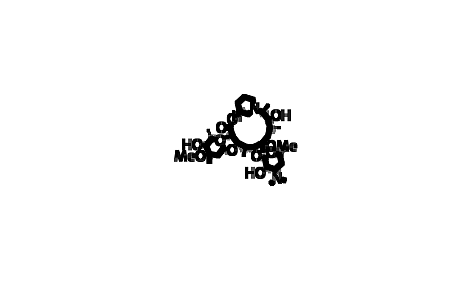 CO[C@]1(C)C[C@H](O[C@H]2[C@H](C)[C@@H](O[C@@H]3O[C@H](C)C[C@H](N(C)C)[C@H]3O)[C@@](C)(OC)C[C@@H](C)[C@H](O)[C@H](C)N3CCC[C@H](C3)OC(=O)[C@@H]2C)O[C@@H](C)[C@@H]1O